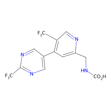 O=C(O)NCc1cc(-c2cnc(C(F)(F)F)nc2)c(C(F)(F)F)cn1